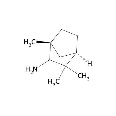 CC1(C)C(N)[C@]2(C)CC[C@@H]1C2